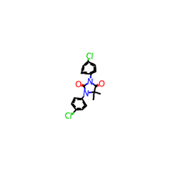 CC1(C)C(=O)N(c2ccc(Cl)cc2)C(=O)N1c1ccc(Cl)cc1